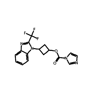 O=C(OC1CC(n2c(C(F)(F)F)nc3ccccc32)C1)n1ccnc1